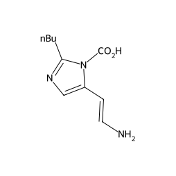 CCCCc1ncc(C=CN)n1C(=O)O